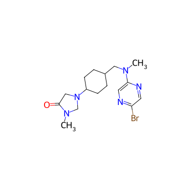 CN1CN(C2CCC(CN(C)c3cnc(Br)cn3)CC2)CC1=O